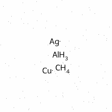 C.[Ag].[AlH3].[Cu]